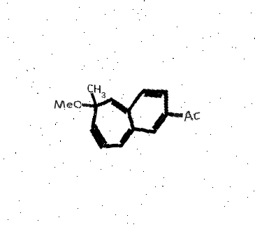 COC1(C)C#CC=c2cc(C(C)=O)ccc2=C1